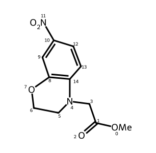 COC(=O)CN1CCOc2cc([N+](=O)[O-])ccc21